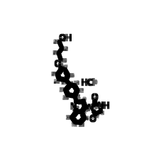 Cl.O=C1CNC(=O)N1c1cc(-c2ccc(-c3ccc(OCCCCO)cc3)cc2)nc2ccccc12